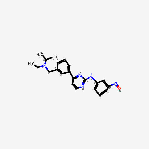 CCN(Cc1cccc(-c2ccnc(Nc3cccc(N=O)c3)n2)c1)C(C)C